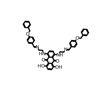 O=C1c2c(O)ccc(O)c2C(=O)c2c(NCC/N=C/c3ccc(OCc4ccccc4)cc3)ccc(NCC/N=C/c3ccc(OCc4ccccc4)cc3)c21